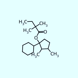 CCC(C)(C)C(=O)OC1(C2CCCCC2)CCC(C)C1C